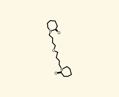 O=C1CCCCCN1CCCCOCCCCN1CCCCCC1=O